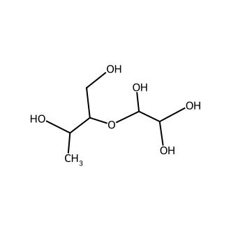 CC(O)C(CO)OC(O)C(O)O